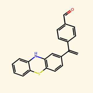 C=C(c1ccc(C=O)cc1)c1ccc2c(c1)Nc1ccccc1S2